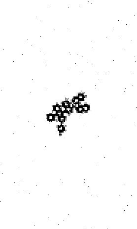 CCc1ccc(-c2ccc3c(-c4ccc(-n5c6ccc7ccccc7c6c6c7ccccc7ccc65)c5ccccc45)c4ccccc4c(-c4ccccc4)c3c2)cc1